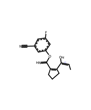 C/C=C(/O)C1=C(C(=N)Oc2cc(F)cc(C#N)c2)CCC1